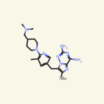 CCCCc1nc2c(N)nc(N)nn2c1Cc1cnc(N2CCC(CN(C)C)CC2)c(C)c1